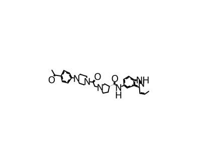 C/C=C\c1n[nH]c2ccc(NC(=O)[C@@H]3CCN(CC(=O)N4CCN(c5ccc(C(C)=O)cc5)CC4)C3)cc12